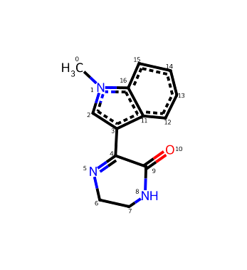 Cn1cc(C2=NCCNC2=O)c2ccccc21